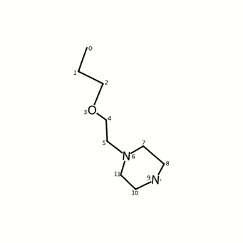 CCCOCCN1CC[N]CC1